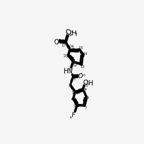 O=C(Cc1cc(F)ccc1O)Nc1cccc(C(=O)O)c1